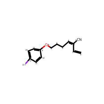 C=C/C(C#N)=C\CCCOc1ccc(I)cc1